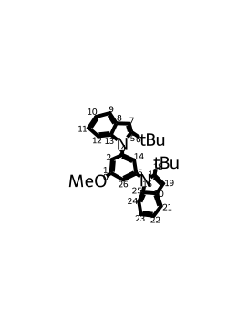 COc1cc(-n2c(C(C)(C)C)cc3ccccc32)cc(-n2c(C(C)(C)C)cc3ccccc32)c1